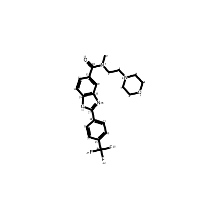 CN(CCN1CCOCC1)C(=O)c1ccc2oc(-c3ccc(C(F)(F)F)cc3)nc2c1